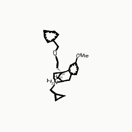 COc1ccc2c(c1)[C@]1(CCOCc3ccccc3)CCN(CC3CC3)C(C2)[C@H]1C